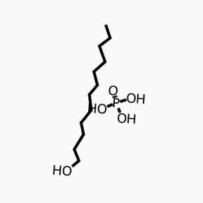 CCCCCCCCCCCCO.O=P(O)(O)O